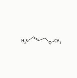 COCC=C[SiH3]